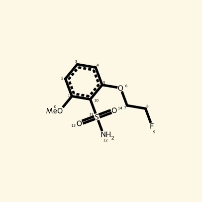 COc1cccc(OCCF)c1S(N)(=O)=O